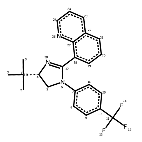 CC(C)(C)[C@H]1CN(c2ccc(C(F)(F)F)cc2)C(c2cccc3cccnc23)=N1